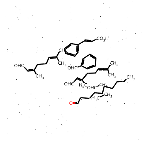 CC(C)=CCC/C(C)=C/C=O.CC(C)=CCC/C(C)=C\C=O.CC=O.CCCCCCCCCC=O.O=C(O)/C=C/c1ccccc1.O=Cc1ccccc1.[CH2]C